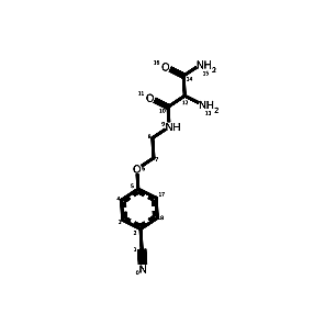 N#Cc1ccc(OCCNC(=O)C(N)C(N)=O)cc1